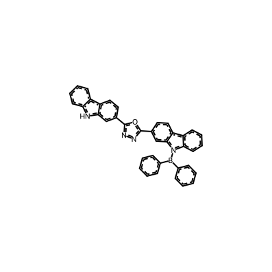 c1ccc(B(c2ccccc2)n2c3ccccc3c3ccc(-c4nnc(-c5ccc6c(c5)[nH]c5ccccc56)o4)cc32)cc1